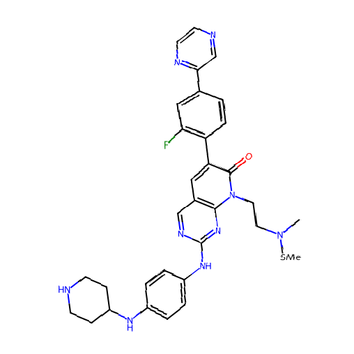 CSN(C)CCn1c(=O)c(-c2ccc(-c3cnccn3)cc2F)cc2cnc(Nc3ccc(NC4CCNCC4)cc3)nc21